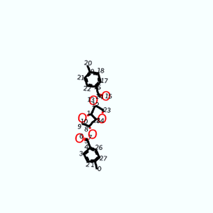 Cc1ccc(C(=O)OC2COC3C(OC(=O)c4ccc(C)cc4)COC23)cc1